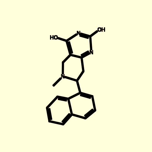 CN1Cc2c(O)nc(O)nc2CC1c1cccc2ccccc12